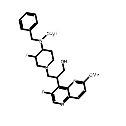 COc1ccc2ncc(F)c(C(CO)CN3CCC(N(Cc4ccccc4)C(=O)O)C(F)C3)c2n1